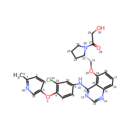 Cc1ccc(Oc2ccc(Nc3ncnc4cccc(OC[C@@H]5CCCN5C(=O)CO)c34)cc2Cl)cn1